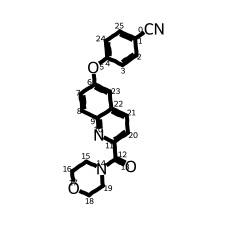 N#Cc1ccc(Oc2ccc3nc(C(=O)N4CCOCC4)ccc3c2)cc1